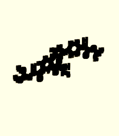 CCNS(=O)(=O)c1cc(C(=O)NCC(OC)OC)ccc1-c1cnc(C2CCC(NC(=O)OC(C)C)CC2)s1